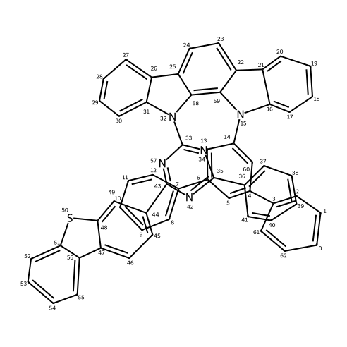 c1ccc(-c2cc(-c3ccccc3)cc(-n3c4ccccc4c4ccc5c6ccccc6n(-c6nc(-c7ccccc7)nc(-c7ccc8c(c7)sc7ccccc78)n6)c5c43)c2)cc1